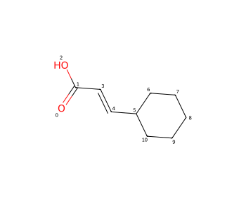 O=C(O)C=CC1CCCCC1